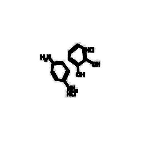 Cl.Cl.Nc1ccc(N)cc1.Oc1ccccc1O